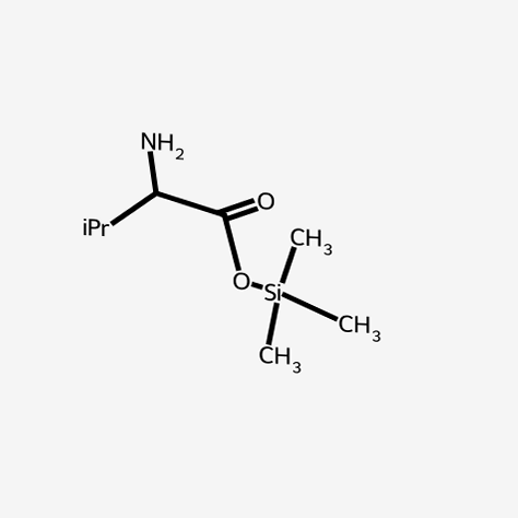 CC(C)C(N)C(=O)O[Si](C)(C)C